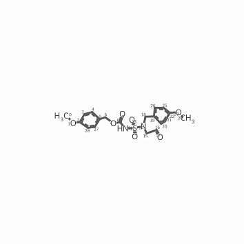 COc1ccc(COC(=O)NS(=O)(=O)N(CC=O)Cc2ccc(OC)cc2)cc1